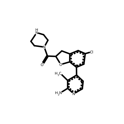 Cc1c(-c2cc(Cl)cc3c2OC(C(=O)N2CCNCC2)C3)ccnc1N